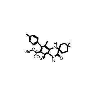 Cc1ccc(-c2c(C)c3c(c(C)c2[C@H](OC(C)(C)C)C(=O)O)NC(=O)C2(CCC(F)(F)CC2)N3)cc1